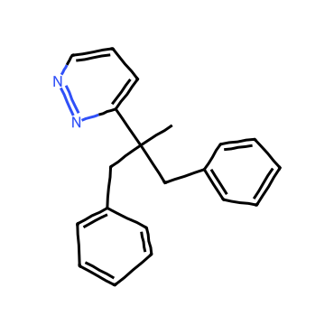 CC(Cc1ccccc1)(Cc1ccccc1)c1cccnn1